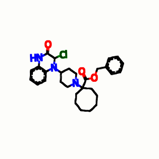 O=C1Nc2ccccc2N(C2CCN(C3(C(=O)OCc4ccccc4)CCCCCCC3)CC2)C1Cl